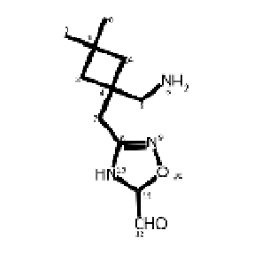 CC1(C)CC(CN)(CC2=NOC(C=O)N2)C1